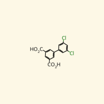 O=C(O)c1cc(C(=O)O)cc(-c2cc(Cl)cc(Cl)c2)c1